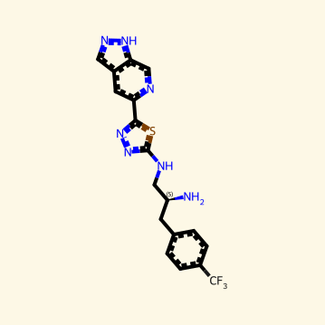 N[C@H](CNc1nnc(-c2cc3cn[nH]c3cn2)s1)Cc1ccc(C(F)(F)F)cc1